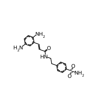 Nc1ccc(N)c(/C=C/C(=O)NCCc2ccc(S(N)(=O)=O)cc2)c1